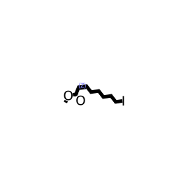 COC(=O)/C=C\CCCCCI